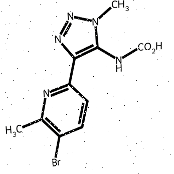 Cc1nc(-c2nnn(C)c2NC(=O)O)ccc1Br